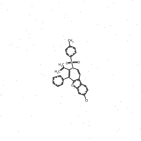 C=C(C)C1=C(c2ccccc2)c2oc3cc(Cl)ccc3c2C=CN1S(=O)(=O)c1ccc(C)cc1